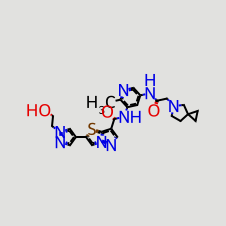 Cc1ncc(NC(=O)CN2CCC3(CC3)C2)cc1NC(=O)c1cnn2cc(-c3cnn(CCO)c3)sc12